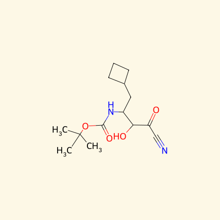 CC(C)(C)OC(=O)NC(CC1CCC1)C(O)C(=O)C#N